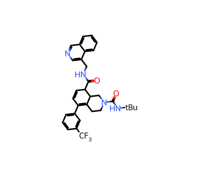 CC(C)(C)NC(=O)N1CCC2=C(c3cccc(C(F)(F)F)c3)C=CC(C(=O)NCc3cncc4ccccc34)C2C1